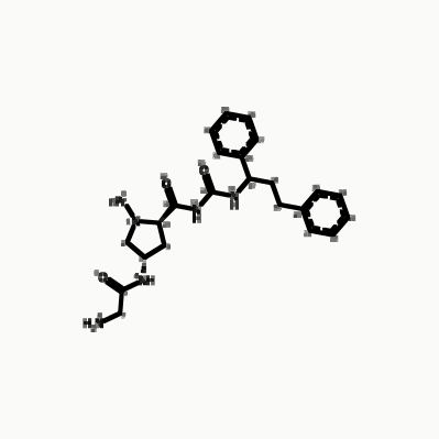 CCCN1C[C@@H](NC(=O)CN)C[C@@H]1C(=O)NC(=O)NC(CCc1ccccc1)c1ccccc1